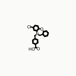 O=C(O)c1ccc(CN2Cc3ccccc3Oc3ccc(Cl)cc32)cc1